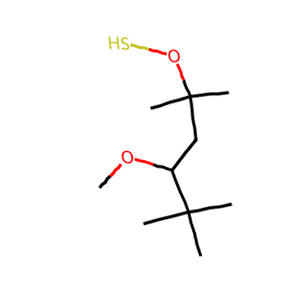 COC(CC(C)(C)OS)C(C)(C)C